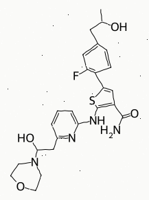 CC(O)Cc1ccc(-c2cc(C(N)=O)c(Nc3cccc(CC(O)N4CCOCC4)n3)s2)c(F)c1